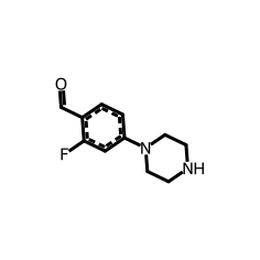 O=Cc1ccc(N2CCNCC2)cc1F